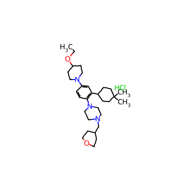 CCOC1CCN(c2ccc(N3CCN(CC4CCOCC4)CC3)c(C3CCC(C)(C)CC3)c2)CC1.Cl